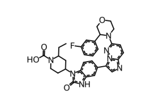 CCC1CC(n2c(=O)[nH]c3cc(-c4cnc5ccc(N6CCOCC6c6cccc(F)c6)nn45)ccc32)CCN1C(=O)O